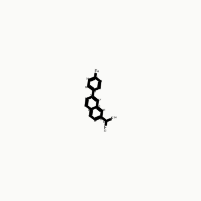 Fc1c[c]c(-c2ccc3ccc(C(F)F)cc3c2)[c]c1